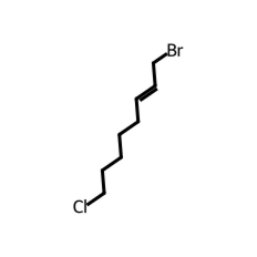 ClCCCCCC=CCBr